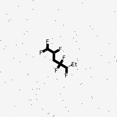 [CH2]C[C@H](F)C(F)(F)CC(F)C(F)F